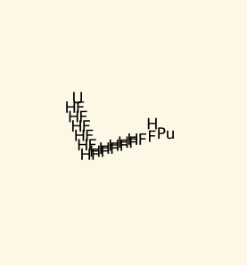 F.F.F.F.F.F.F.F.F.F.F.F.[Pu].[U]